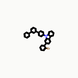 Brc1ccccc1-c1ccc2c3ccccc3n(-c3ccc(-c4cccc(-c5ccccc5)c4)cc3)c2c1